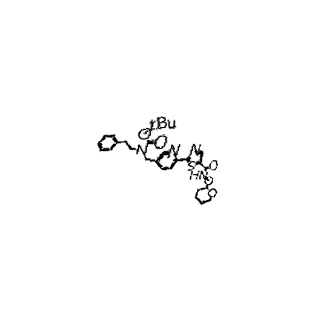 CC(C)(C)OC(=O)N(CCc1ccccc1)Cc1ccc(-c2ncc(C(=O)NOC3CCCCO3)s2)nc1